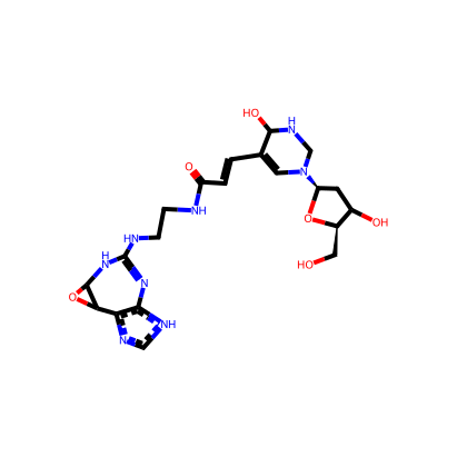 O=C(/C=C/C1=CN([C@H]2CC(O)[C@@H](CO)O2)CNC1O)NCCNC1=Nc2[nH]cnc2C2OC2N1